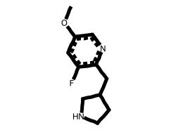 COc1cnc(CC2CCNC2)c(F)c1